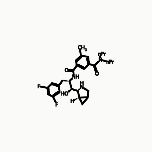 CCCN(CCC)C(=O)c1cc(C)cc(C(=O)N[C@@H](Cc2cc(F)cc(F)c2)[C@H](O)[C@@H]2NCC3C[C@H]32)c1